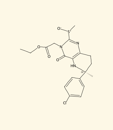 CCOC(=O)Cn1c([S+](C)[O-])nc2c(c1=O)N[C@](C)(c1ccc(Cl)cc1)CC2